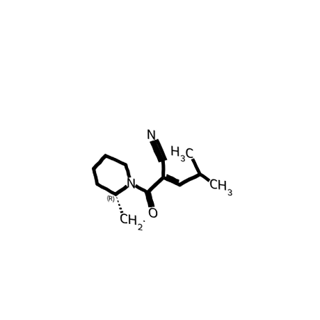 [CH2][C@@H]1CCCCN1C(=O)C(C#N)=CC(C)C